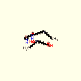 CCCCCCC(O)C/C=C\CCCCCCCC(=O)O.CCCCCCCC/C=C\CCCCCCCC(=O)NCCCC1CNCCO1